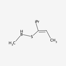 CBS/C(=C\C)C(C)C